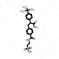 CC(C)(C)c1ccc(C(Cc2ccc(C(=O)NCCS(=O)(=O)O)cc2)C(N)=O)cc1